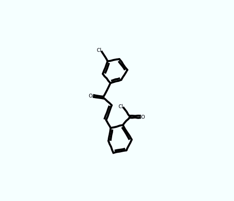 O=C(C=Cc1ccccc1C(=O)Cl)c1cccc(Cl)c1